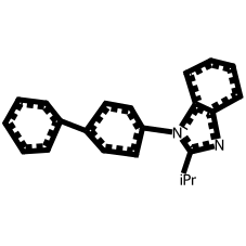 CC(C)c1nc2ccccc2n1-c1ccc(-c2ccccc2)cc1